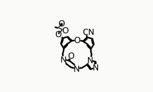 CS(=O)(=O)Oc1cc2cc(c1)Oc1cc(ccc1C#N)Cn1cncc1CN1CCN(C2)C(=O)C1